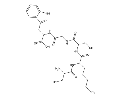 NCCCC[C@H](NC(=O)[C@@H](N)CS)C(=O)N[C@@H](CO)C(=O)NCC(=O)N[C@@H](Cc1c[nH]c2ccccc12)C(=O)O